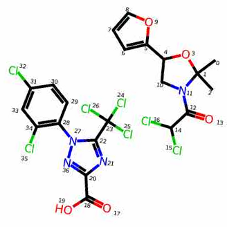 CC1(C)OC(c2ccco2)CN1C(=O)C(Cl)Cl.O=C(O)c1nc(C(Cl)(Cl)Cl)n(-c2ccc(Cl)cc2Cl)n1